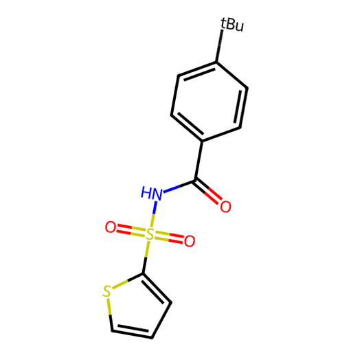 CC(C)(C)c1ccc(C(=O)NS(=O)(=O)c2cccs2)cc1